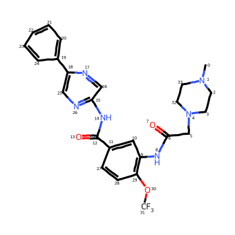 CN1CCN(CC(=O)Nc2cc(C(=O)Nc3cnc(-c4ccccc4)cn3)ccc2OC(F)(F)F)CC1